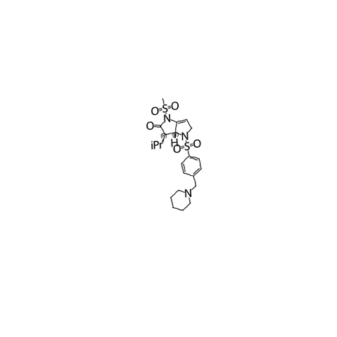 CC(C)[C@H]1C(=O)N(S(C)(=O)=O)C2=CCN(S(=O)(=O)c3ccc(CN4CCCCC4)cc3)[C@@H]21